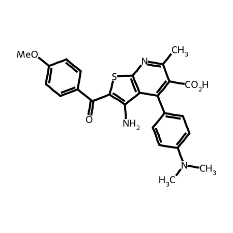 COc1ccc(C(=O)c2sc3nc(C)c(C(=O)O)c(-c4ccc(N(C)C)cc4)c3c2N)cc1